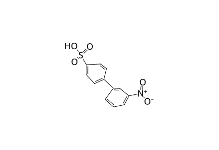 O=[N+]([O-])c1cccc(-c2ccc(S(=O)(=O)O)cc2)c1